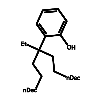 CCCCCCCCCCCCC(CC)(CCCCCCCCCCCC)c1ccccc1O